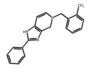 Cc1ccccc1CN1C=Cc2[nH]c(-c3ccccc3)nc2C1